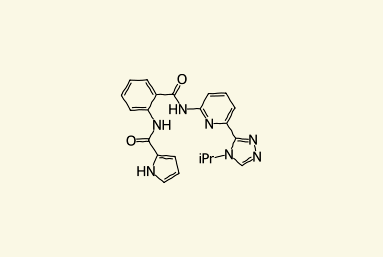 CC(C)n1cnnc1-c1cccc(NC(=O)c2ccccc2NC(=O)c2ccc[nH]2)n1